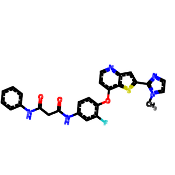 Cn1ccnc1-c1cc2nccc(Oc3ccc(NC(=O)CC(=O)Nc4ccccc4)cc3F)c2s1